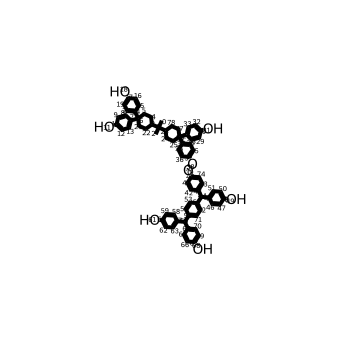 CC(C)(C1CCC(c2ccc(O)cc2)(c2ccc(O)cc2)CC1)C1CCC(c2ccc(O)cc2)(c2ccc(OOc3ccc(C(c4ccc(O)cc4)c4ccc(C(c5ccc(O)cc5)c5ccc(O)cc5)cc4)cc3)cc2)CC1